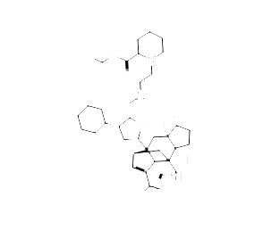 CCOC(=O)C1CCCCN1CCNC[C@@H]1O[C@@H](C23C[C@@H]4[C@H](C)CC[C@H]4C4(C=O)CC2C=C(C(C)C)[C@]43C(=O)O)C[C@H]1C1CCCCC1